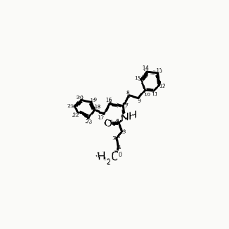 [CH2]C[CH]CC(=O)NC(CCc1ccccc1)CCc1ccccc1